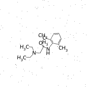 C.CCN(CC)CC(=O)Nc1c(C)cccc1C